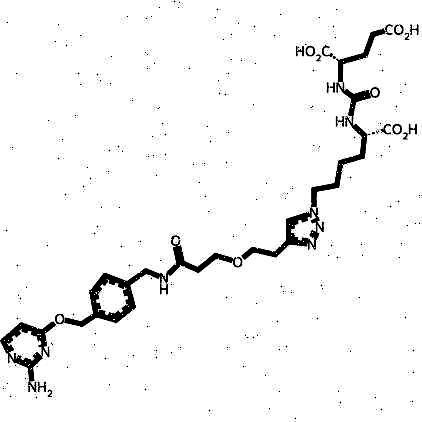 Nc1nccc(OCc2ccc(CNC(=O)CCOCCc3cn(CCCC[C@H](NC(=O)N[C@@H](CCC(=O)O)C(=O)O)C(=O)O)nn3)cc2)n1